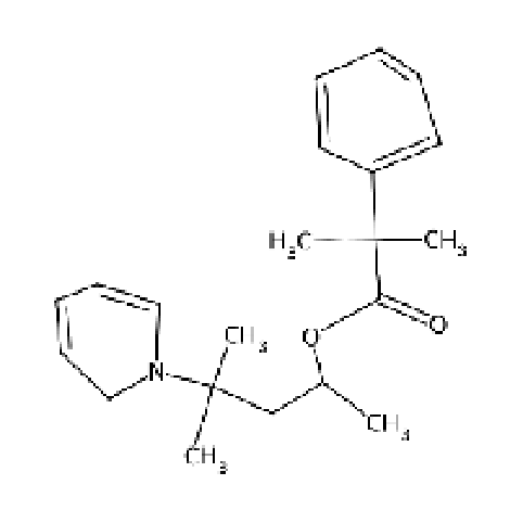 CC(CC(C)(C)N1C=CC=CC1)OC(=O)C(C)(C)c1ccccc1